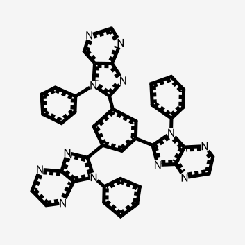 c1ccc(-n2c(-c3cc(-c4nc5nccnc5n4-c4ccccc4)cc(-c4nc5nccnc5n4-c4ccccc4)c3)nc3ncncc32)cc1